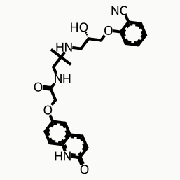 CC(C)(CNC(=O)COc1ccc2[nH]c(=O)ccc2c1)NC[C@H](O)COc1ccccc1C#N